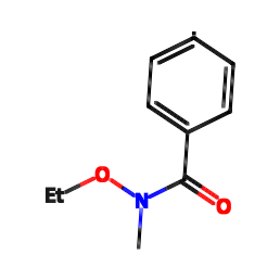 CCON(C)C(=O)c1cc[c]cc1